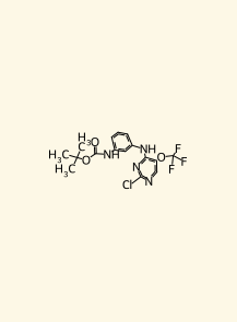 CC(C)(C)OC(=O)Nc1cccc(Nc2nc(Cl)ncc2OC(F)(F)F)c1